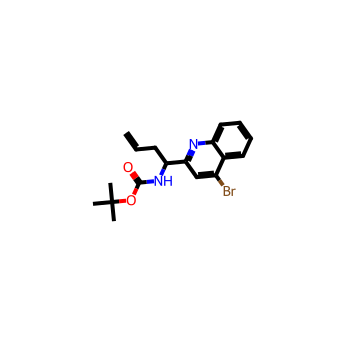 C=CCC(NC(=O)OC(C)(C)C)c1cc(Br)c2ccccc2n1